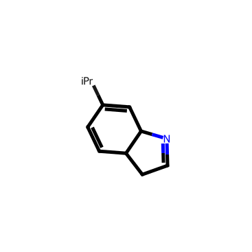 CC(C)C1=CC2N=CCC2C=C1